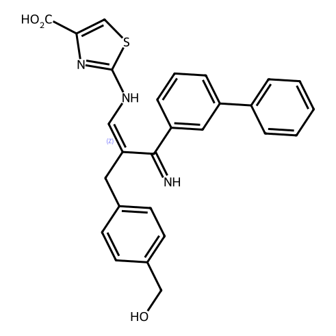 N=C(/C(=C\Nc1nc(C(=O)O)cs1)Cc1ccc(CO)cc1)c1cccc(-c2ccccc2)c1